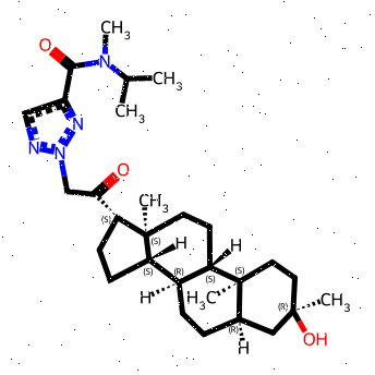 CC(C)N(C)C(=O)c1cnn(CC(=O)[C@H]2CC[C@H]3[C@@H]4CC[C@@H]5C[C@](C)(O)CC[C@]5(C)[C@H]4CC[C@]23C)n1